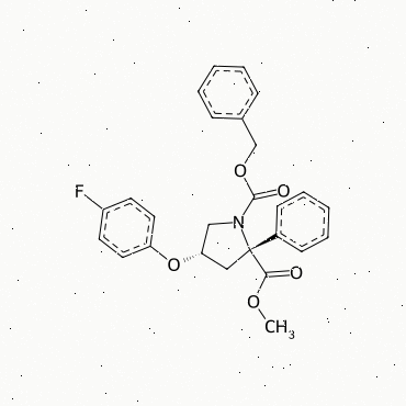 COC(=O)[C@]1(c2ccccc2)C[C@H](Oc2ccc(F)cc2)CN1C(=O)OCc1ccccc1